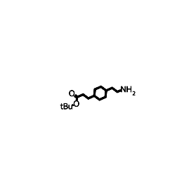 CC(C)(C)OC(=O)CCC1CCC(CCN)CC1